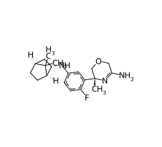 CC1(C)[C@H]2CC[C@@H]1[C@@H](Nc1ccc(F)c([C@]3(C)COCC(N)=N3)c1)C2